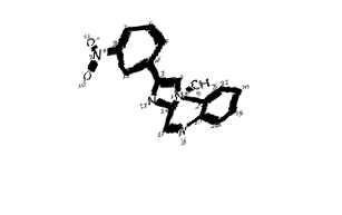 C[N+]12C=C(c3cccc([N+](=O)[O-])c3)N=C1C=Nc1ccccc12